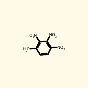 O=[N+]([O-])c1ccc(P)c([N+](=O)[O-])c1[N+](=O)[O-]